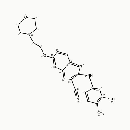 Cc1ccc(Nc2nc3ccc(OCCN4CCOCC4)nc3cc2C#N)cc1O